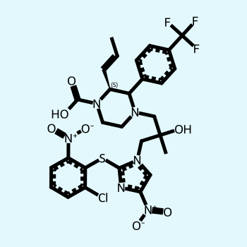 CC=C[C@H]1C(c2ccc(C(F)(F)F)cc2)N(CC(C)(O)Cn2cc([N+](=O)[O-])nc2Sc2c(Cl)cccc2[N+](=O)[O-])CCN1C(=O)O